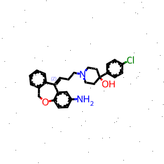 Nc1ccc2c(c1)/C(=C\CCN1CCC(O)(c3ccc(Cl)cc3)CC1)c1ccccc1CO2